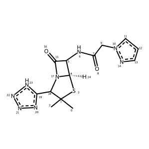 CC1(C)S[C@@H]2C(NC(=O)Cn3cccn3)C(=O)N2C1c1nnn[nH]1